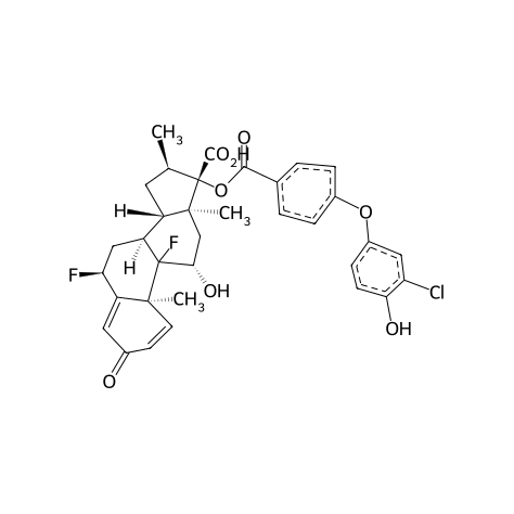 C[C@@H]1C[C@H]2[C@@H]3C[C@H](F)C4=CC(=O)C=C[C@]4(C)C3(F)[C@@H](O)C[C@]2(C)[C@]1(OC(=O)c1ccc(Oc2ccc(O)c(Cl)c2)cc1)C(=O)O